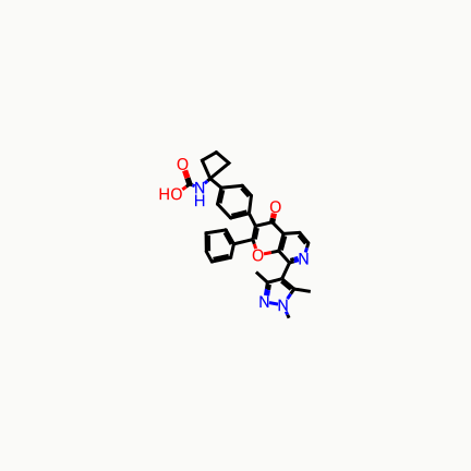 Cc1nn(C)c(C)c1-c1nccc2c(=O)c(-c3ccc(C4(NC(=O)O)CCC4)cc3)c(-c3ccccc3)oc12